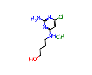 Cl.Nc1nc(Cl)cc(NCCCCO)n1